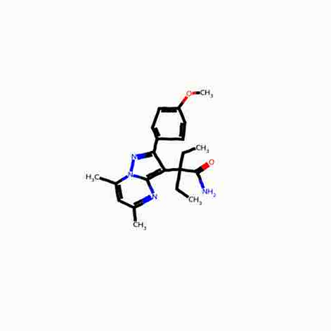 CCC(CC)(C(N)=O)c1c(-c2ccc(OC)cc2)nn2c(C)cc(C)nc12